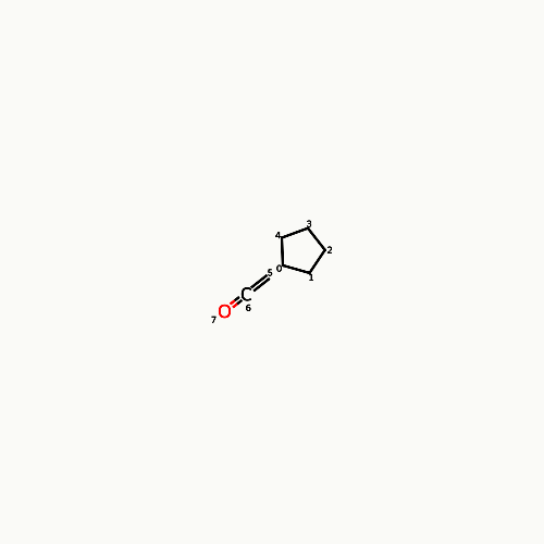 C1CCCC1.C=C=O